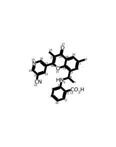 Cc1cc(C(C)Nc2ccccc2C(=O)O)c2oc(-c3cncc(C#N)c3)c(C)c(=O)c2c1